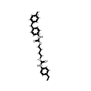 CCc1ccc(NC(=O)OCCCCOC(=O)Nc2ccc(Cc3ccc(C)cc3)cc2)cc1